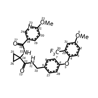 COc1ccc(Oc2ccc(CNC(=O)C3(NC(=O)c4ccc(OC)nc4)CC3)cc2)c(C(F)(F)F)c1